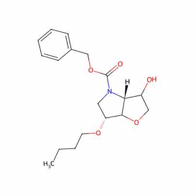 CCCCO[C@@H]1CN(C(=O)OCc2ccccc2)[C@@H]2C(O)COC21